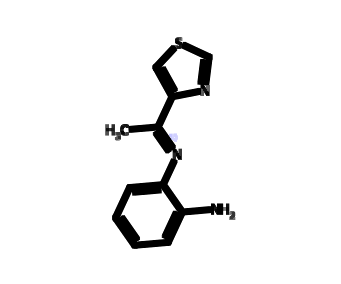 C/C(=N\c1ccccc1N)c1cscn1